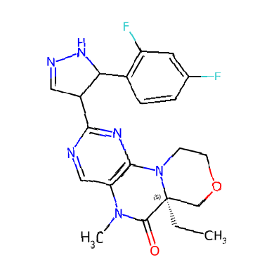 CC[C@@]12COCCN1c1nc(C3C=NNC3c3ccc(F)cc3F)ncc1N(C)C2=O